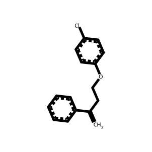 C=C(CCOc1ccc(Cl)cc1)c1ccccc1